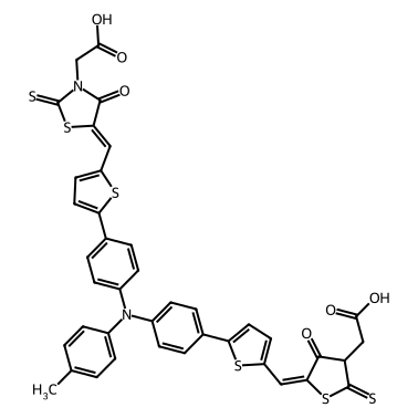 Cc1ccc(N(c2ccc(-c3ccc(/C=C4\SC(=S)N(CC(=O)O)C4=O)s3)cc2)c2ccc(-c3ccc(/C=C4/SC(=S)C(CC(=O)O)C4=O)s3)cc2)cc1